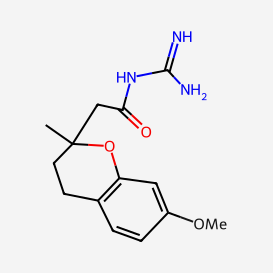 COc1ccc2c(c1)OC(C)(CC(=O)NC(=N)N)CC2